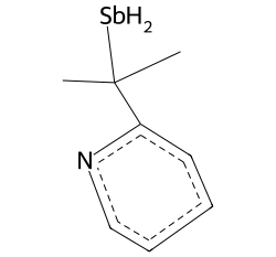 C[C](C)([SbH2])c1ccccn1